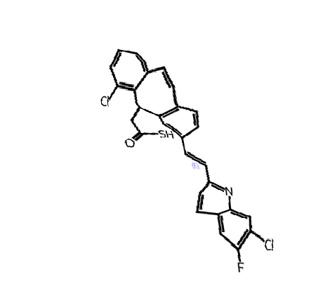 O=C(S)CC1c2cc(/C=C/c3ccc4cc(F)c(Cl)cc4n3)ccc2C=Cc2cccc(Cl)c21